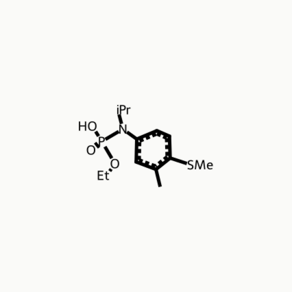 CCOP(=O)(O)N(c1ccc(SC)c(C)c1)C(C)C